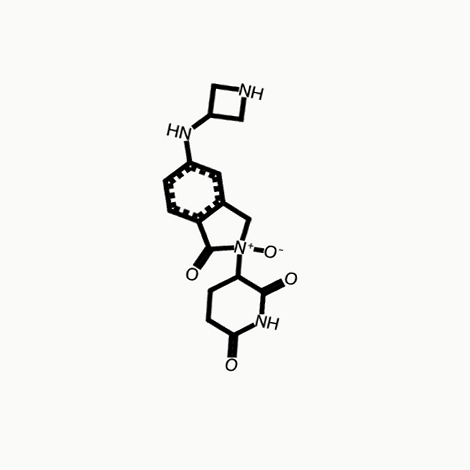 O=C1CCC([N+]2([O-])Cc3cc(NC4CNC4)ccc3C2=O)C(=O)N1